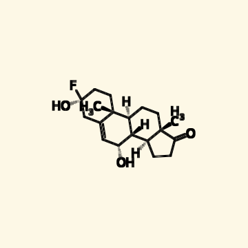 C[C@]12CC[C@](O)(F)CC1=C[C@@H](O)[C@@H]1[C@@H]2CC[C@]2(C)C(=O)CC[C@@H]12